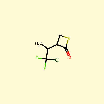 [CH2]C(C1CSC1=O)C(F)(F)Cl